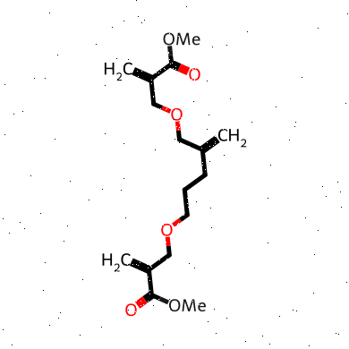 C=C(CCCOCC(=C)C(=O)OC)COCC(=C)C(=O)OC